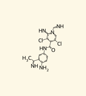 CC(=N)c1cc(NC(=O)c2c(Cl)cn(C=N)c(=N)c2Cl)ccc1N